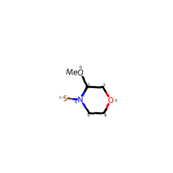 COC1COCCN1[S]